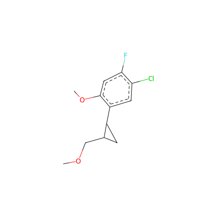 COCC1CC1c1cc(Cl)c(F)cc1OC